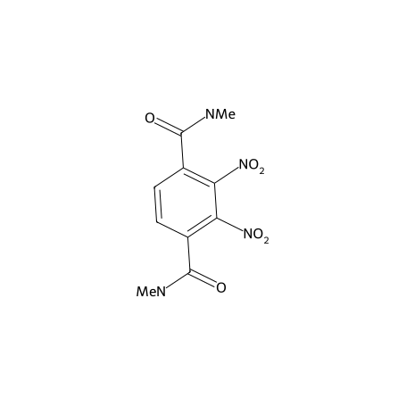 CNC(=O)c1ccc(C(=O)NC)c([N+](=O)[O-])c1[N+](=O)[O-]